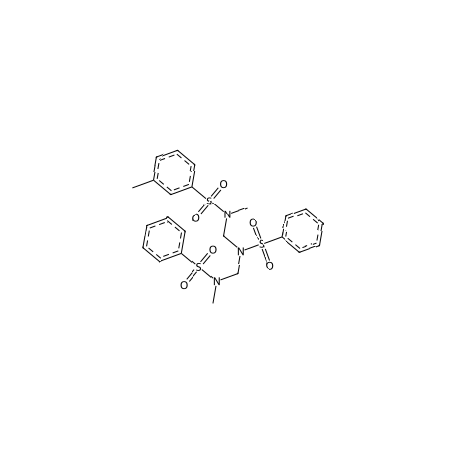 Cc1cccc(S(=O)(=O)N(C)CN(CN(C)S(=O)(=O)c2ccccc2)S(=O)(=O)c2ccccc2)c1